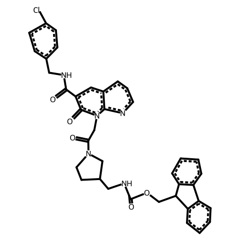 O=C(NCC1CCN(C(=O)Cn2c(=O)c(C(=O)NCc3ccc(Cl)cc3)cc3cccnc32)C1)OCC1c2ccccc2-c2ccccc21